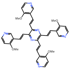 COc1ccncc1C=Cc1nc(C=Cc2cnccc2OC)c(C=Cc2cnccc2OC)nc1C=Cc1cnccc1OC